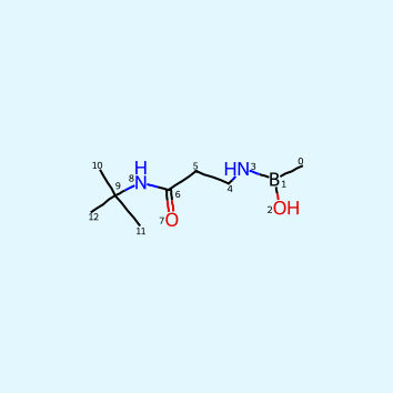 CB(O)NCCC(=O)NC(C)(C)C